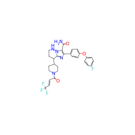 NC(=O)c1c(-c2ccc(Oc3ccc(F)cc3)cc2)nc2n1NCCC2C1CCN(C(=O)/C=C/C(F)(F)F)CC1